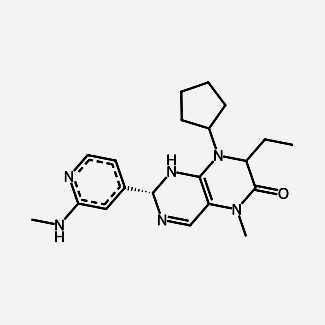 CCC1C(=O)N(C)C2=C(N[C@@H](c3ccnc(NC)c3)N=C2)N1C1CCCC1